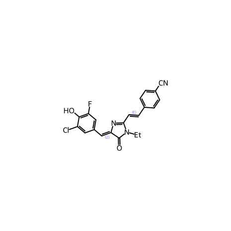 CCN1C(=O)/C(=C/c2cc(F)c(O)c(Cl)c2)N=C1/C=C/c1ccc(C#N)cc1